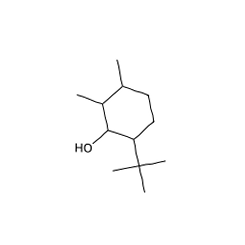 CC1CCC(C(C)(C)C)C(O)C1C